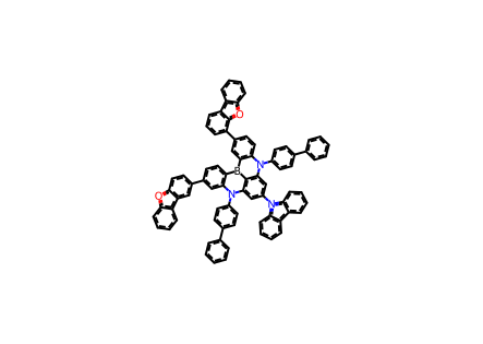 c1ccc(-c2ccc(N3c4ccc(-c5cccc6c5oc5ccccc56)cc4B4c5ccc(-c6ccc7oc8ccccc8c7c6)cc5N(c5ccc(-c6ccccc6)cc5)c5cc(-n6c7ccccc7c7ccccc76)cc3c54)cc2)cc1